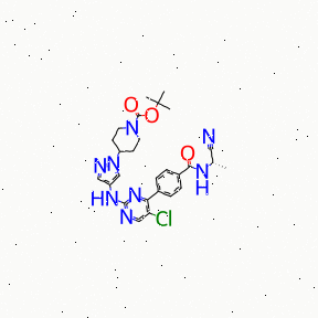 C[C@@H](C#N)NC(=O)c1ccc(-c2nc(Nc3cnn(C4CCN(C(=O)OC(C)(C)C)CC4)c3)ncc2Cl)cc1